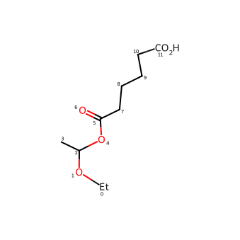 CCOC(C)OC(=O)CCCCC(=O)O